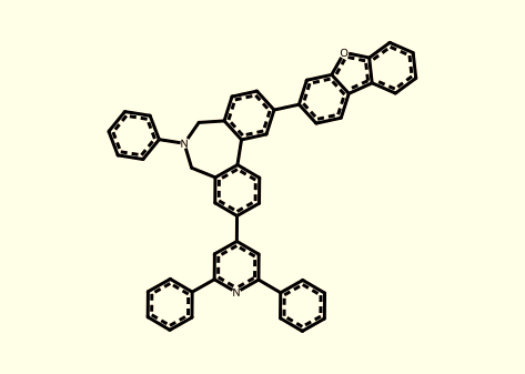 c1ccc(-c2cc(-c3ccc4c(c3)CN(c3ccccc3)Cc3ccc(-c5ccc6c(c5)oc5ccccc56)cc3-4)cc(-c3ccccc3)n2)cc1